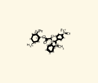 CCN(CC)c1ccc(-c2n([C@H](C)C(=O)O[C@@H]3C[C@H](C)CC[C@H]3C(C)C)c3ccccc3[n+]2C)cc1